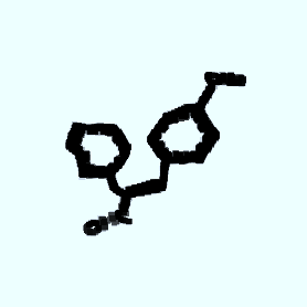 COc1ccc(C=C(C=O)c2ccccc2)cc1